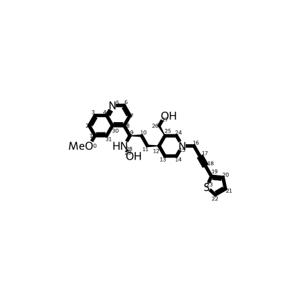 COc1ccc2nccc([C@@H](CC[C@@H]3CCN(CC#Cc4cccs4)C[C@@H]3CO)NO)c2c1